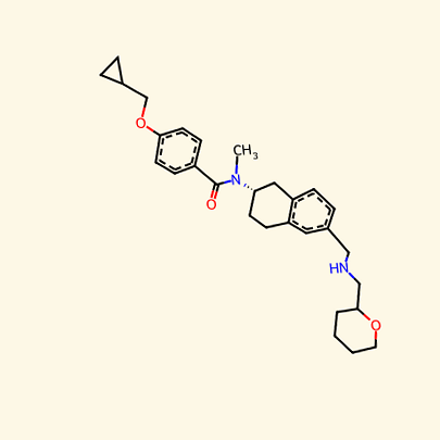 CN(C(=O)c1ccc(OCC2CC2)cc1)[C@H]1CCc2cc(CNCC3CCCCO3)ccc2C1